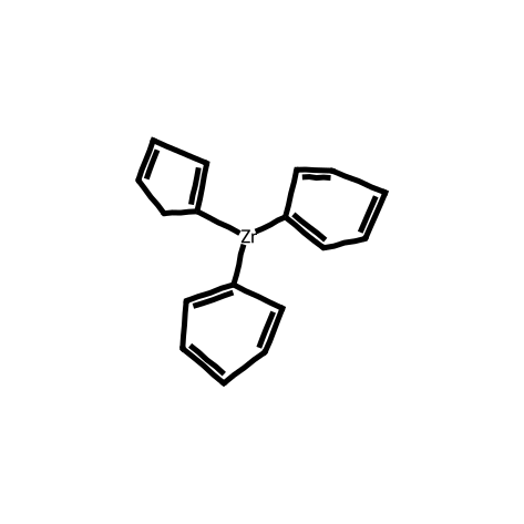 C1=CC[C]([Zr]([c]2ccccc2)[c]2ccccc2)=C1